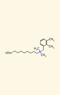 CCCCCCCCCCCCCCCCCC[N+](C)(C)Cc1cccc(C)c1C